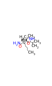 C=C(C)C(=O)NC(C)(C)C.CCCCC=C(C)C(N)=O